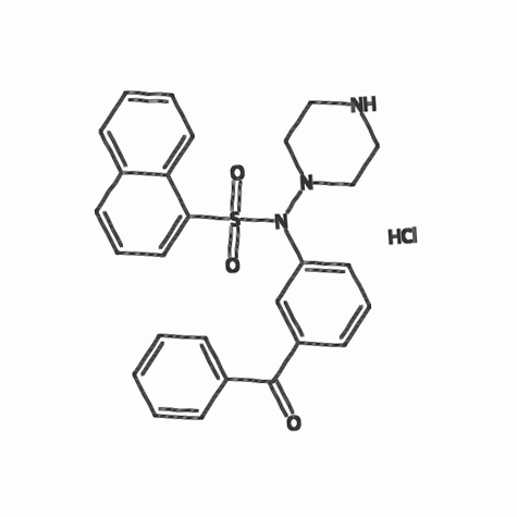 Cl.O=C(c1ccccc1)c1cccc(N(N2CCNCC2)S(=O)(=O)c2cccc3ccccc23)c1